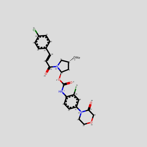 CO[C@@H]1C[C@@H](OC(=O)Nc2ccc(N3CCOCC3=O)cc2F)N(C(=O)/C=C/c2ccc(Cl)cc2)C1